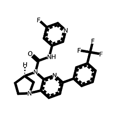 O=C(Nc1cncc(F)c1)N1c2nc(-c3cccc(C(F)(F)F)c3)ccc2N2CC[C@@H]1C2